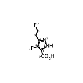 O=C(O)c1[nH]nc(CCF)c1F